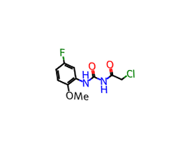 COc1ccc(F)cc1NC(=O)NC(=O)CCl